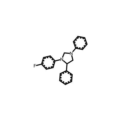 Fc1ccc(N2CN(c3ccccc3)CC2c2ccccc2)cc1